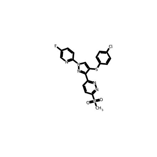 CS(=O)(=O)c1ccc(-c2nn(-c3ccc(F)cn3)cc2Sc2ccc(Cl)cc2)nn1